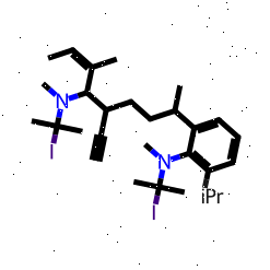 C#CC(CCC(C)c1cccc(C(C)C)c1N(C)C(C)(C)I)C(/C(C)=C\C)N(C)C(C)(C)I